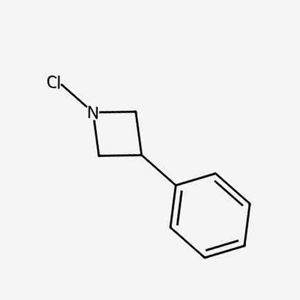 ClN1CC(c2ccccc2)C1